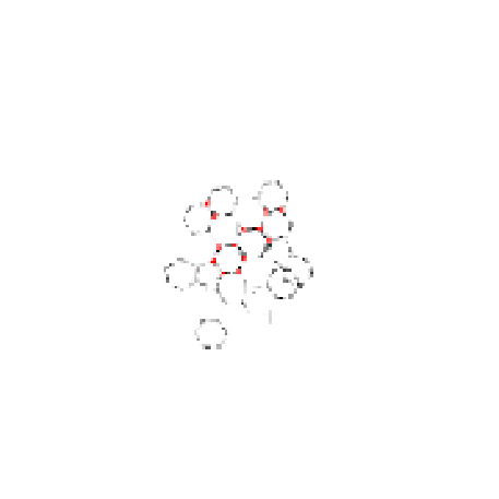 C=C(/C(=C\c1ccc(N(c2ccccc2-c2ccccc2)c2cccc3c2oc2ccccc23)c(-c2ccccc2)c1)c1ccccc1)N(c1ccccc1C1=C=C=CC=C1)c1cccc2c1oc1ccccc12